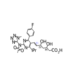 CC(C)c1nc(N(c2nnnn2C)S(C)(=O)=O)nc(-c2ccc(F)cc2)c1/C=C/[C@@H](O)C[C@@H](O)CC(=O)O